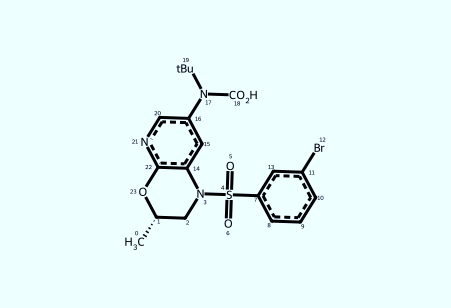 C[C@H]1CN(S(=O)(=O)c2cccc(Br)c2)c2cc(N(C(=O)O)C(C)(C)C)cnc2O1